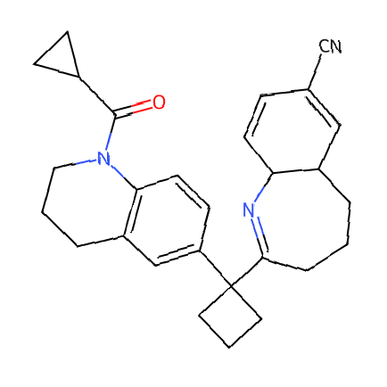 N#CC1=CC2CCCC(C3(c4ccc5c(c4)CCCN5C(=O)C4CC4)CCC3)=NC2C=C1